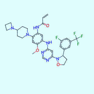 C=CC(=O)Nc1cc(Nc2cc(N3OCCC3c3cc(F)cc(C(F)(F)F)c3)ncn2)c(OC)cc1N1CCC(N2CCC2)CC1